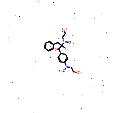 CCC(Cc1ccccc1)(C(=O)C1C=CC(N(C)CCO)=CC1)N(C)CCO